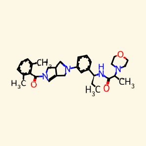 CC[C@H](NC(=O)C(C)N1CCOCC1)c1cccc(N2CC3=CN(C(=O)c4c(C)cccc4C)CC3C2)c1